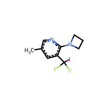 Cc1cnc(N2CCC2)c(C(F)(F)I)c1